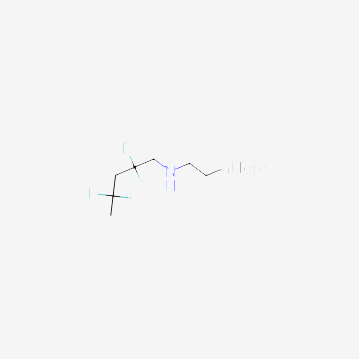 CCCCCCCCCNCC(F)(F)CC(C)(F)F